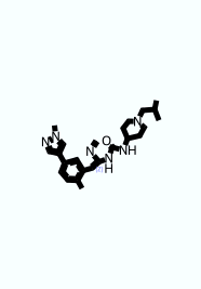 C=N/C(=C\c1cc(-c2cnn(C)c2)ccc1C)NC(=O)NC1CCN(CC(C)C)CC1